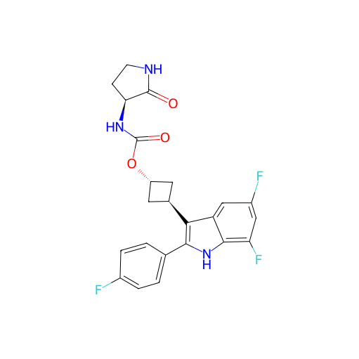 O=C(N[C@H]1CCNC1=O)O[C@H]1C[C@H](c2c(-c3ccc(F)cc3)[nH]c3c(F)cc(F)cc32)C1